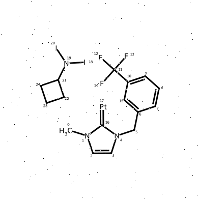 Cn1ccn(Cc2cccc(C(F)(F)F)c2)[c]1=[Pt].IN(I)C1CCC1